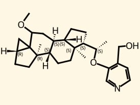 COC1C[C@H]2[C@@H]3CC[C@H]([C@H](C)Oc4cnccc4CO)[C@@]3(C)CC[C@@H]2[C@@]2(C)CC[C@@H]3CC132